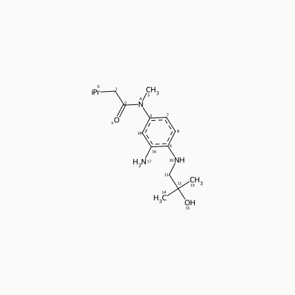 CC(C)CC(=O)N(C)c1ccc(NCC(C)(C)O)c(N)c1